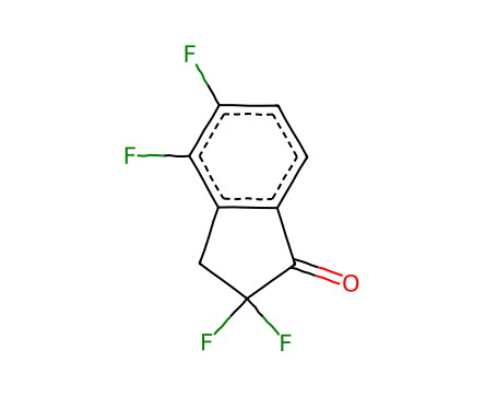 O=C1c2ccc(F)c(F)c2CC1(F)F